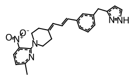 Cc1ccc([N+](=O)[O-])c(N2CCC(=C/C=C/c3cccc(Cc4cc[nH]n4)c3)CC2)n1